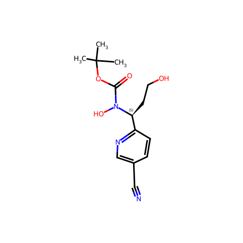 CC(C)(C)OC(=O)N(O)[C@@H](CCO)c1ccc(C#N)cn1